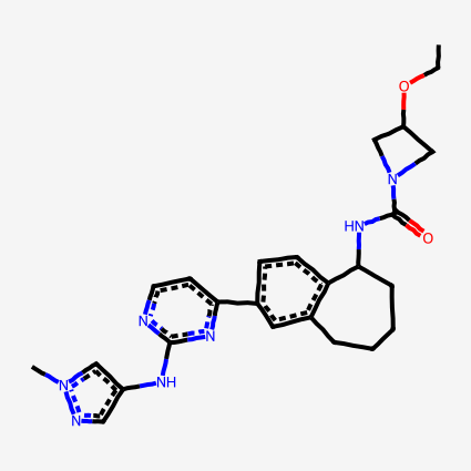 CCOC1CN(C(=O)NC2CCCCc3cc(-c4ccnc(Nc5cnn(C)c5)n4)ccc32)C1